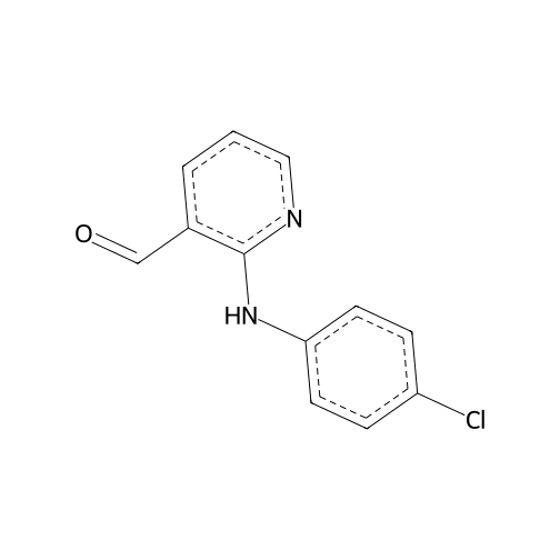 O=Cc1cccnc1Nc1ccc(Cl)cc1